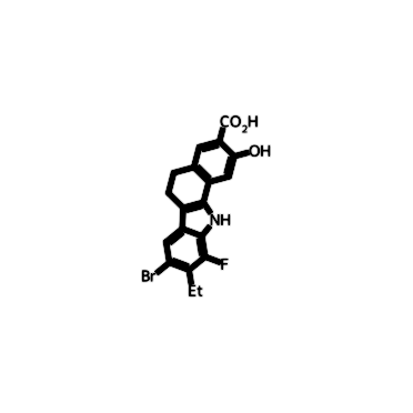 CCc1c(Br)cc2c3c([nH]c2c1F)-c1cc(O)c(C(=O)O)cc1CC3